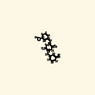 COc1cccc([CH]N2C[C@@H](C)N(Cc3cccc(F)c3)C[C@@H]2C)c1